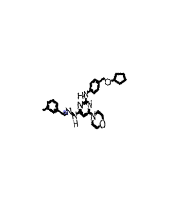 Cc1cccc(/C=N/Nc2cc(N3CCOCC3)nc(Nc3ccc(COC4CCCC4)cc3)n2)c1